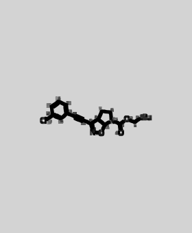 CC(C)(C)COC(=O)N1CCC2C(C#Cc3cccc(Cl)c3)=NOC21